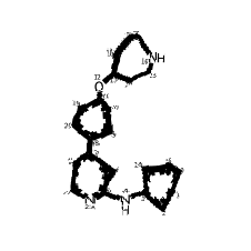 c1ccc(Nc2cc(-c3ccc(OC4CCNCC4)cc3)ccn2)cc1